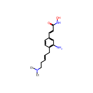 CCN(CC)CC/C=C/Cc1ccc(/C=C/C(=O)NO)cc1N